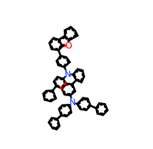 c1ccc(-c2ccc(N(c3ccc(-c4ccccc4)cc3)c3cccc(-c4ccccc4N(c4ccc(-c5ccccc5)cc4)c4ccc(-c5cccc6c5oc5ccccc56)cc4)c3)cc2)cc1